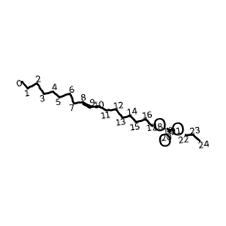 CCCCCCCC/C=C/CCCCCCCCOC(=O)OCCC